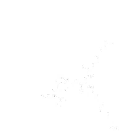 CCCCCCCCCCCCCCCCCC(=O)NCC(NC(=O)CCCCCCCCCCCCCCCCC)C(=O)OCCC(C)(C)OCCC(C)(C)OC